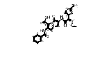 CO/N=C(\C(=O)N[C@H]1CN2CC(NC(=O)c3ccccc3)=C(C(=O)O)N2C1=O)c1csc(N)n1